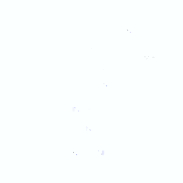 COc1cc(-c2cccc3cc([C@H](C)Nc4nc(N)ncc4-c4ccccc4)n(-c4ccccc4)c(=O)c23)ccn1